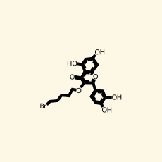 O=c1c(OCCCCCBr)c(-c2ccc(O)c(O)c2)oc2cc(O)cc(O)c12